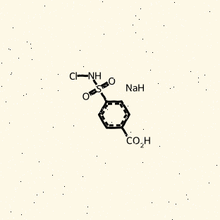 O=C(O)c1ccc(S(=O)(=O)NCl)cc1.[NaH]